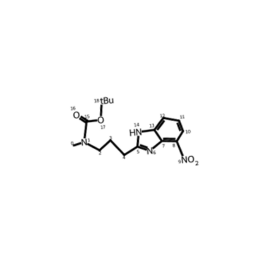 CN(CCCc1nc2c([N+](=O)[O-])cccc2[nH]1)C(=O)OC(C)(C)C